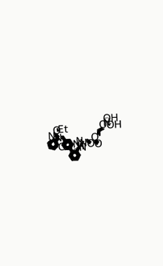 CCOc1nc2cccc(C(=O)O)c2n1Cc1ccc(-c2ccccc2-c2nnn(COC(=O)OCCCON(O)O)n2)cc1